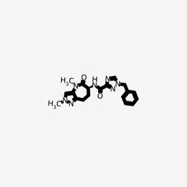 CN1C(=O)[C@@H](NC(=O)c2ncn(Cc3ccccc3)n2)CCc2nn(C)cc21